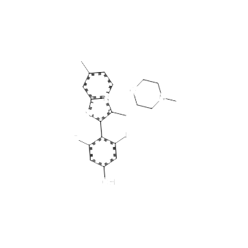 Cc1ccn2c(C[C@H]3CN(C)CCO3)c(-c3c(F)cc(O)cc3F)nc2c1